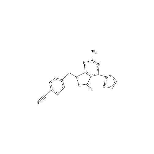 N#Cc1ccc(CC2OC(=O)c3c(-c4ccco4)nc(N)nc32)cc1